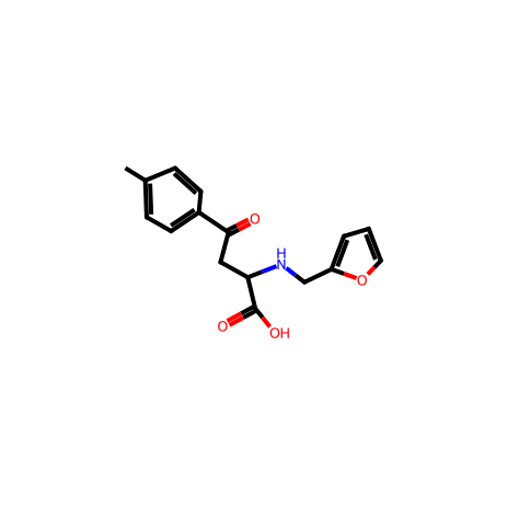 Cc1ccc(C(=O)CC(NCc2ccco2)C(=O)O)cc1